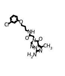 CC1=C2C(=O)N(CC(=O)NCCCOc3cccc(Cl)c3)C=N[N+]2C(N)=N1